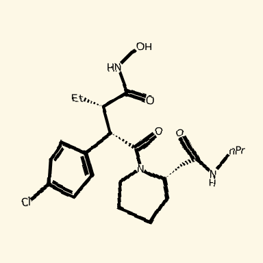 CCCNC(=O)[C@@H]1CCCCN1C(=O)[C@H](c1ccc(Cl)cc1)[C@H](CC)C(=O)NO